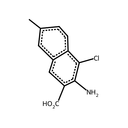 Cc1ccc2c(Cl)c(N)c(C(=O)O)cc2c1